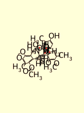 COc1c(C)cc2c(c1O)[C@@H]1[C@@H]3[C@@H]4SCC5(NCCc6cc(O)c(C)cc65)C(=O)OC[C@@H](c5c6c(c(C)c(OC(C)=O)c54)OCO6)N3[C@@H](O)[C@H](C2)N1C